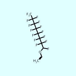 C=COC(F)C(F)(F)C(F)(F)C(F)(F)C(F)(F)C(F)(F)C(F)(F)C(F)(F)F